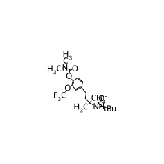 CN(C)C(=O)Oc1ccc(CCC(C)(C)N[S+]([O-])C(C)(C)C)cc1OC(F)(F)F